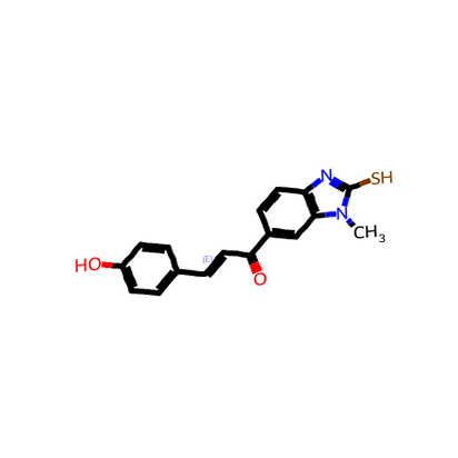 Cn1c(S)nc2ccc(C(=O)/C=C/c3ccc(O)cc3)cc21